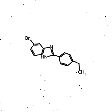 CCc1ccc(-c2nc3cc(Br)ccc3[nH]2)cc1